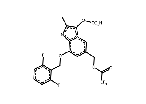 Cc1nc2c(OCc3c(F)cccc3F)cc(COC(=O)C(F)(F)F)cn2c1OC(=O)O